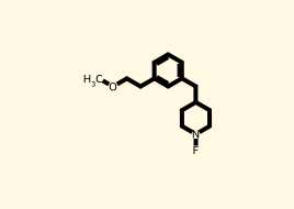 COCCc1cccc(CC2CCN(F)CC2)c1